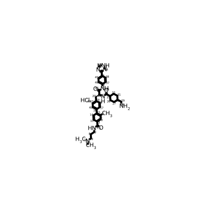 Cc1cc(C(=O)NCCCN(C)C)ccc1-c1ccc(C[C@H](NC(=O)C2CCC(CN)CC2)C(=O)Nc2ccc(-c3nn[nH]n3)cc2)cc1.Cl